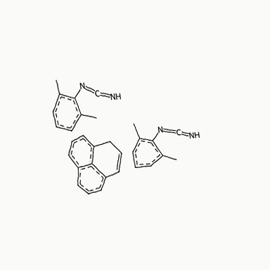 C1=Cc2cccc3cccc(c23)C1.Cc1cccc(C)c1N=C=N.Cc1cccc(C)c1N=C=N